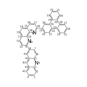 c1ccc2nc3ccc(-c4ccc5ccc6ccc(-c7ccc8c9ccccc9c9ccccc9c8c7)nc6c5n4)cc3cc2c1